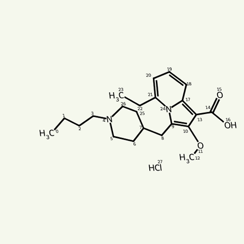 CCCCN1CCC(Cc2c(OC)c(C(=O)O)c3cccc(CC)n23)CC1.Cl